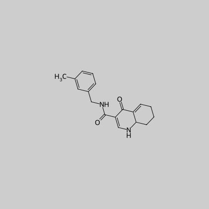 Cc1cccc(CNC(=O)C2=CNC3CCCC=C3C2=O)c1